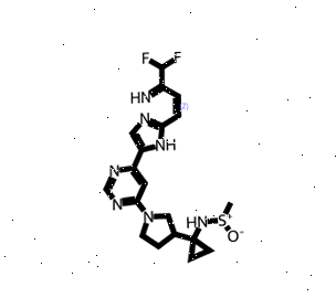 C[S+]([O-])NC1(C2CCN(c3cc(-c4cnc(/C=C\C(=N)C(F)F)[nH]4)ncn3)C2)CC1